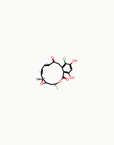 C[C@@H]1CC2O[C@@H]2/C=C\C=C\C(=O)Cc2c(Cl)c(O)cc(O)c2C(=O)O1